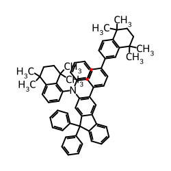 CC1(C)CCC(C)(C)c2cc(-c3ccc(-c4cc5c(cc4N(c4ccccc4)c4cccc6c4C(C)(C)CCC6(C)C)C(c4ccccc4)(c4ccccc4)c4ccccc4-5)cc3)ccc21